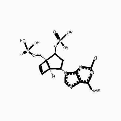 CNc1nc(Cl)nc2c1ncn2[C@H]1C[C@H](OP(=O)(O)O)[C@]2(COP(=O)(O)O)C=C[C@H]12